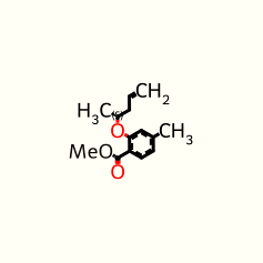 C=CC[C@H](C)Oc1cc(C)ccc1C(=O)OC